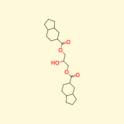 O=C(OCC(O)COC(=O)C1CCC2CCCC2C1)C1CCC2CCCC2C1